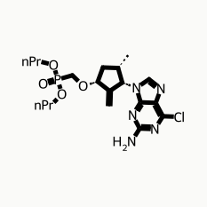 C=C1[C@@H](n2cnc3c(Cl)nc(N)nc32)[C@@H](C)C[C@H]1OCP(=O)(OCCC)OCCC